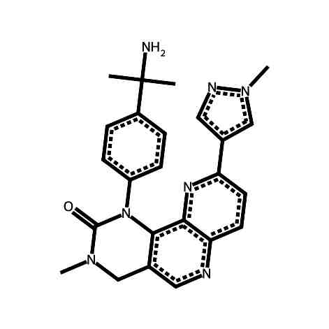 CN1Cc2cnc3ccc(-c4cnn(C)c4)nc3c2N(c2ccc(C(C)(C)N)cc2)C1=O